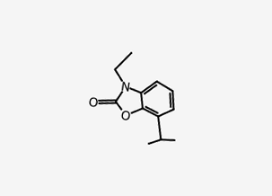 CCn1c(=O)oc2c(C(C)C)cccc21